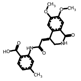 COc1cc2c(cc1OC)C(=CC(=O)Nc1cc(C)ccc1C(=O)O)CNC2=O